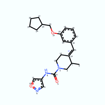 CC1CN(C(=O)Nc2cnoc2)CC/C1=C\c1cccc(OCC2CCCC2)c1